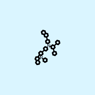 c1ccc(-c2cc(-c3ccccc3)cc(N(c3ccc(-c4ccc5ccccc5c4)cc3)c3ccc(-c4ccc5c6ccc7ccccc7c6n(-c6ccccc6)c5c4)cc3)c2)cc1